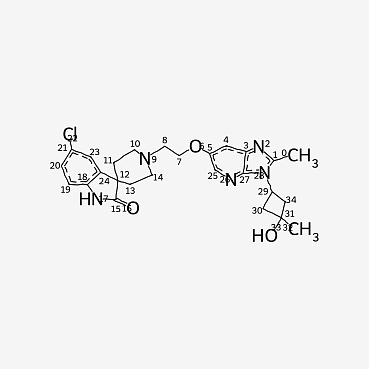 Cc1nc2cc(OCCN3CCC4(CC3)C(=O)Nc3ccc(Cl)cc34)cnc2n1C1CC(C)(O)C1